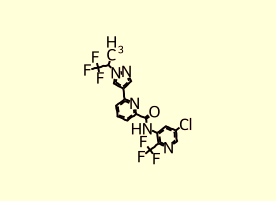 CC(n1cc(-c2cccc(C(=O)Nc3cc(Cl)cnc3C(F)(F)F)n2)cn1)C(F)(F)F